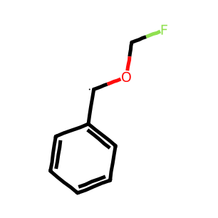 FCO[CH]c1ccccc1